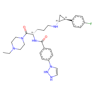 CCN1CCN(C(=O)[C@H](CCCN[C@@H]2C[C@H]2c2ccc(F)cc2)NC(=O)c2ccc(N3C=CNN3)cc2)CC1